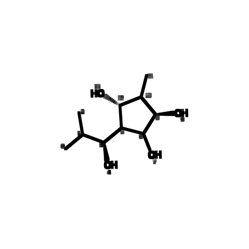 CC(C)[C@H](O)C1C(O)[C@H](O)C(C)[C@H]1O